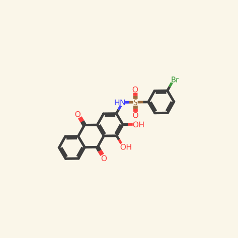 O=C1c2ccccc2C(=O)c2c1cc(NS(=O)(=O)c1cccc(Br)c1)c(O)c2O